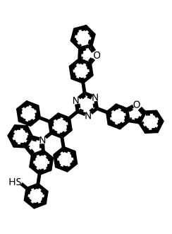 Sc1ccccc1-c1ccc2c(c1)c1ccccc1n2-c1c(-c2ccccc2)cc(-c2nc(-c3ccc4c(c3)oc3ccccc34)nc(-c3ccc4c(c3)oc3ccccc34)n2)cc1-c1ccccc1